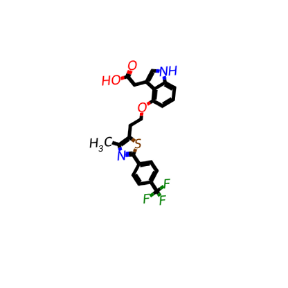 Cc1nc(-c2ccc(C(F)(F)F)cc2)sc1CCOc1cccc2[nH]cc(CC(=O)O)c12